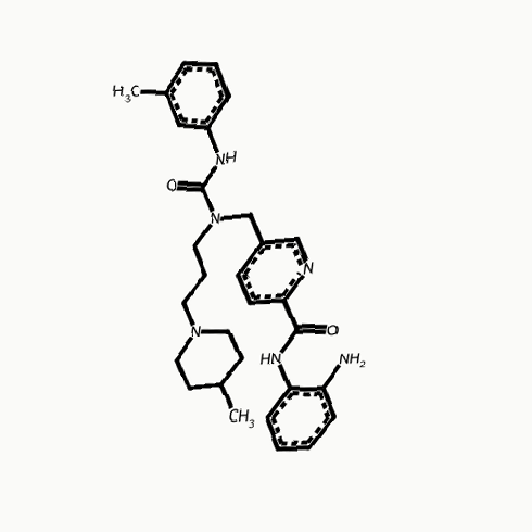 Cc1cccc(NC(=O)N(CCCN2CCC(C)CC2)Cc2ccc(C(=O)Nc3ccccc3N)nc2)c1